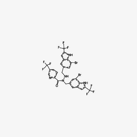 O=C(c1ccc(C(F)(F)F)cn1)N(Cc1cc(Br)c2[nH]c(C(F)(F)F)cc2c1)NCc1cc(Br)c2[nH]c(C(F)(F)F)cc2c1